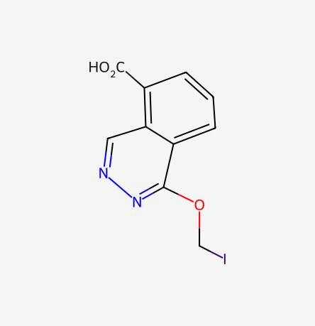 O=C(O)c1cccc2c(OCI)nncc12